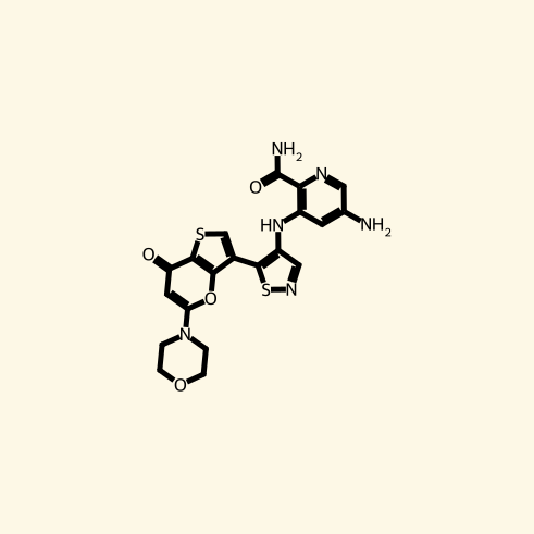 NC(=O)c1ncc(N)cc1Nc1cnsc1-c1csc2c(=O)cc(N3CCOCC3)oc12